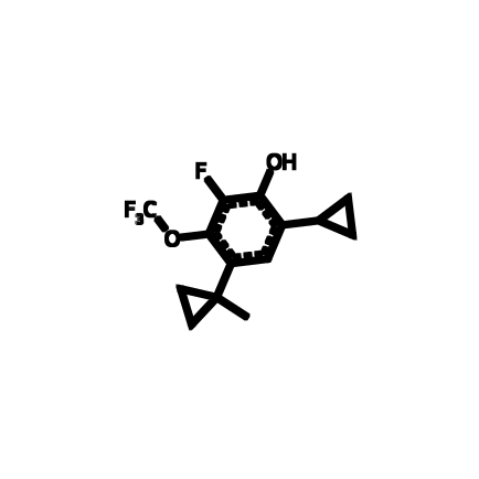 CC1(c2cc(C3CC3)c(O)c(F)c2OC(F)(F)F)CC1